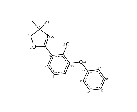 CC1(C)COC(c2cccc(Oc3ccccc3)c2Cl)=N1